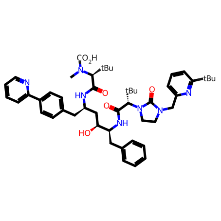 CN(C(=O)O)[C@H](C(=O)N[C@H](Cc1ccc(-c2ccccn2)cc1)C[C@H](O)[C@H](Cc1ccccc1)NC(=O)[C@@H](N1CCN(Cc2cccc(C(C)(C)C)n2)C1=O)C(C)(C)C)C(C)(C)C